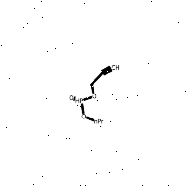 C#CCO[PH](=O)OCCC